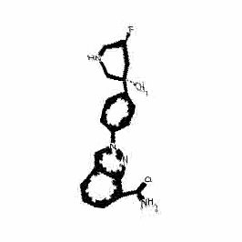 C[C@]1(c2ccc(-n3cc4cccc(C(N)=O)c4n3)cc2)CNC[C@@H](F)C1